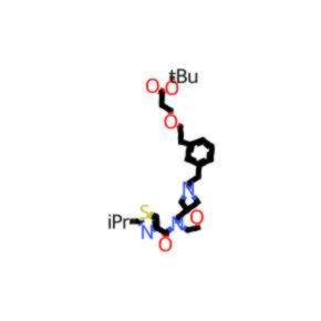 CC(C)c1nc(C(=O)N2CCOC3(CN(CCc4cccc(CCOCCC(=O)OC(C)(C)C)c4)C3)C2)cs1